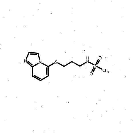 O=S(=O)(NCCCSc1cccc2nccn12)C(F)(F)F